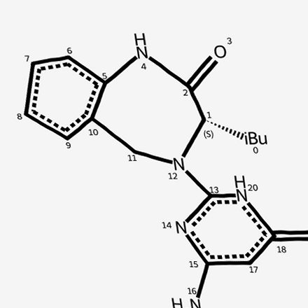 CCC(C)[C@H]1C(=O)Nc2ccccc2CN1c1nc(N)cc(=O)[nH]1